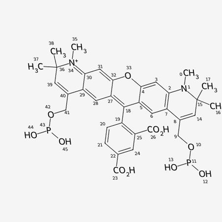 CN1c2cc3c(cc2C(COP(O)O)=CC1(C)C)C(c1ccc(C(=O)O)cc1C(=O)O)=c1cc2c(cc1O3)=[N+](C)C(C)(C)C=C2COP(O)O